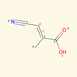 C/C(=C\C#N)C(=O)O